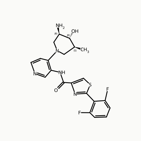 C[C@H]1CN(c2ccncc2NC(=O)c2csc(-c3c(F)cccc3F)n2)C[C@@H](N)[C@@H]1O